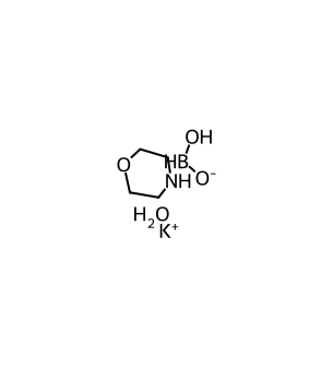 C1COCCN1.O.[K+].[O-]BO